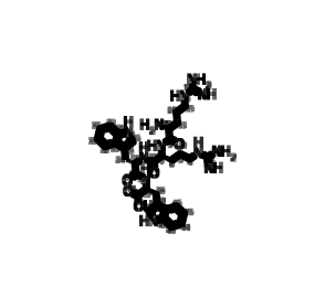 N=C(N)NCCC[C@H](NC(=O)[C@@H](N)CCCNC(=N)N)C(=O)N[C@@H](Cc1c[nH]c2ccccc12)C(=O)N[C@@H](Cc1c[nH]c2ccccc12)C(=O)O